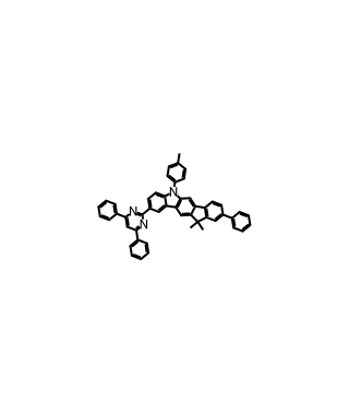 Cc1ccc(-n2c3ccc(-c4nc(-c5ccccc5)cc(-c5ccccc5)n4)cc3c3cc4c(cc32)-c2ccc(-c3ccccc3)cc2C4(C)C)cc1